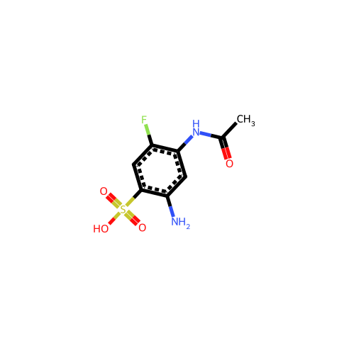 CC(=O)Nc1cc(N)c(S(=O)(=O)O)cc1F